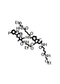 CCOCCNC(=O)CCCC(=O)Nc1ccc2c(c1)C(COC(=O)N(CC)CCNC(=O)c1c(C)[nH]c(/C=C3\C(=O)Nc4ccc(F)cc43)c1C)c1cc(NC(=O)CCCC(=O)NCCOCC)ccc1-2